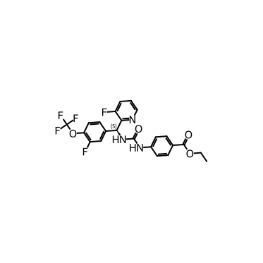 CCOC(=O)c1ccc(NC(=O)N[C@@H](c2ccc(OC(F)(F)F)c(F)c2)c2ncccc2F)cc1